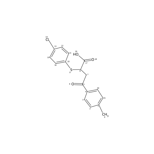 Cc1ccc(C(=O)CC(Sc2ccc(Cl)cc2)C(=O)O)cc1